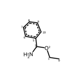 CCO[C](N)c1ccccc1